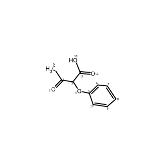 CC(=O)C(Oc1ccccc1)C(=O)O